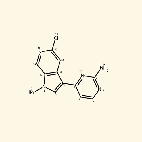 CC(C)n1cc(-c2ccnc(N)n2)c2cc(Cl)ncc21